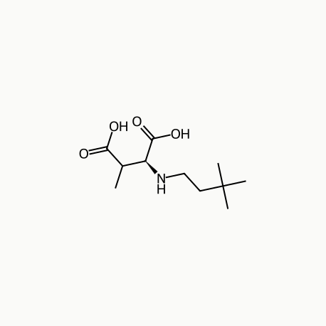 CC(C(=O)O)[C@H](NCCC(C)(C)C)C(=O)O